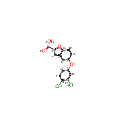 O=C(O)c1cc2cc(Oc3ccc(Cl)c(Cl)c3)ccc2o1